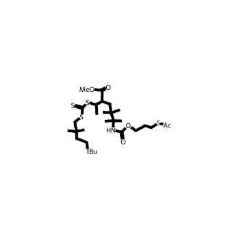 COC(=O)C(CC(C)(C)C(C)(C)NC(=O)OCCCSC(C)=O)C(C)SC(=S)SCC(C)(C)CCC(C)(C)C